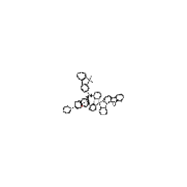 CC1(C)c2ccccc2-c2ccc(N(c3ccccc3)c3cccc4c3-c3c(Nc5ccc(-c6ccccc6)cc5)cccc3C43c4ccccc4-c4c3ccc3c4oc4ccccc43)cc21